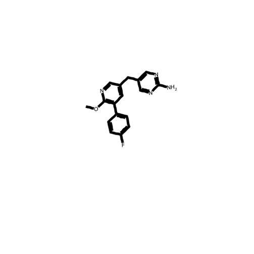 COc1ncc(Cc2cnc(N)nc2)cc1-c1ccc(F)cc1